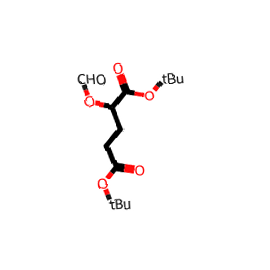 CC(C)(C)OC(=O)CCC(OC=O)C(=O)OC(C)(C)C